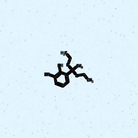 CCOC(C)(OCC)c1cccc(O)c1O